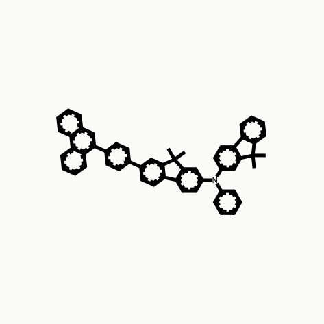 CC1(C)c2ccccc2-c2ccc(N(c3ccccc3)c3ccc4c(c3)C(C)(C)c3cc(-c5ccc(-c6cc7ccccc7c7ccccc67)cc5)ccc3-4)cc21